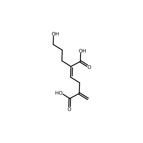 C=C(CC=C(CCCO)C(=O)O)C(=O)O